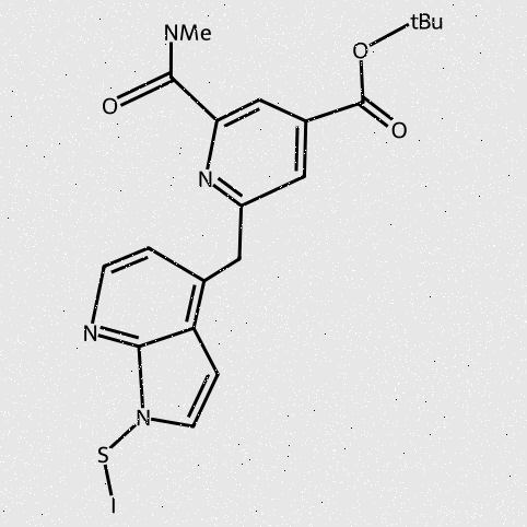 CNC(=O)c1cc(C(=O)OC(C)(C)C)cc(Cc2ccnc3c2ccn3SI)n1